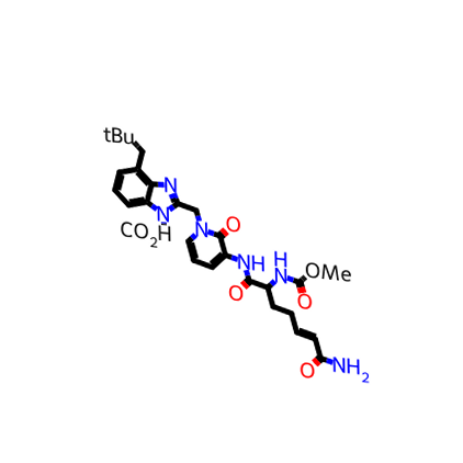 COC(=O)NC(CC/C=C/C(N)=O)C(=O)Nc1cccn(Cc2nc3c(CC(C)(C)C)cccc3n2C(=O)O)c1=O